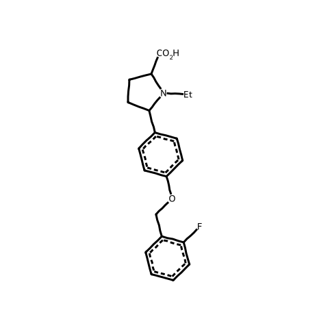 CCN1C(C(=O)O)CCC1c1ccc(OCc2ccccc2F)cc1